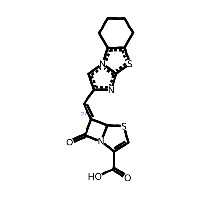 O=C(O)C1=CSC2/C(=C\c3cn4c5c(sc4n3)CCCC5)C(=O)N12